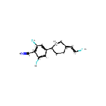 N#Cc1c(F)cc(C2CCC(C=CF)CC2)cc1F